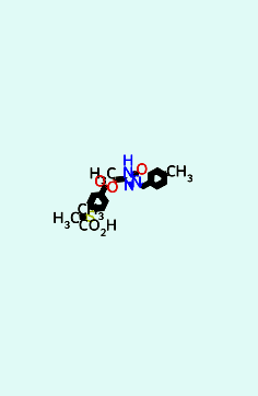 Cc1ccc(Cn2nc(C(C)OC(=O)c3ccc(SC(C)(C)C(=O)O)cc3)[nH]c2=O)cc1